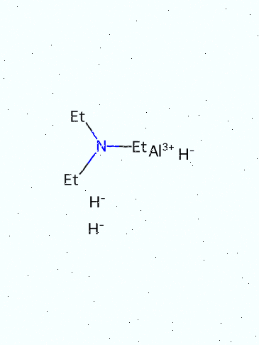 CCN(CC)CC.[Al+3].[H-].[H-].[H-]